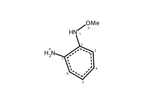 CONc1ccccc1N